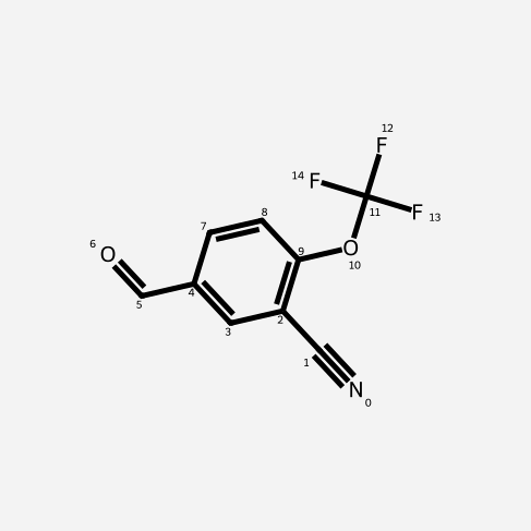 N#Cc1cc(C=O)ccc1OC(F)(F)F